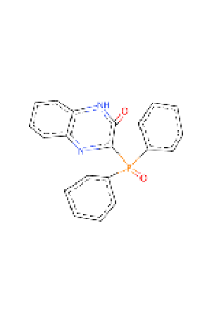 O=c1[nH]c2ccccc2nc1P(=O)(c1ccccc1)c1ccccc1